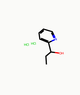 CCC(O)c1ccccn1.Cl.Cl